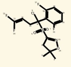 CC1(C)CC(S(=O)(=O)C(Cl)(CC=C(F)F)c2c(F)cccc2F)=NO1